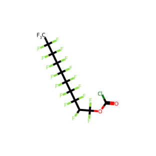 O=C(Cl)OC(F)(F)C(F)C(F)(F)C(F)(F)C(F)(F)C(F)(F)C(F)(F)C(F)(F)C(F)(F)C(F)(F)F